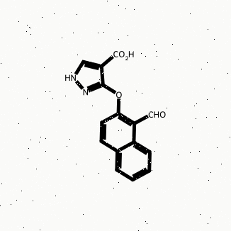 O=Cc1c(Oc2n[nH]cc2C(=O)O)ccc2ccccc12